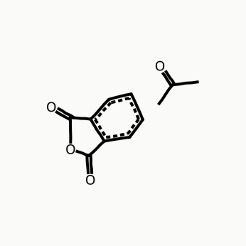 CC(C)=O.O=C1OC(=O)c2ccccc21